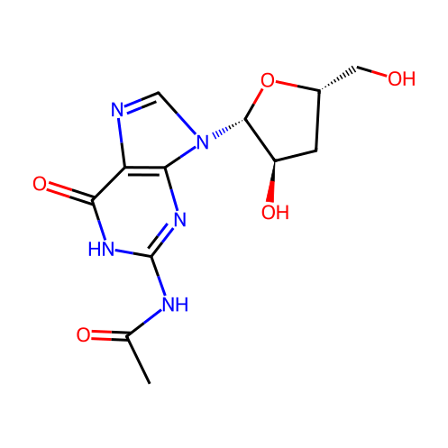 CC(=O)Nc1nc2c(ncn2[C@@H]2O[C@H](CO)C[C@H]2O)c(=O)[nH]1